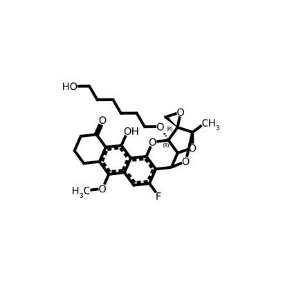 COc1c2c(c(O)c3c4c(c(F)cc13)C1OC3(C)OC1[C@@](OCCCCCCO)(O4)[C@@]31CO1)C(=O)CCC2